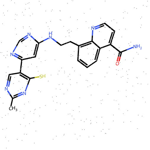 Cc1ncc(-c2cc(NCCc3cccc4c(C(N)=O)ccnc34)ncn2)c(S)n1